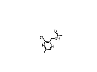 CC(=O)NCc1ncc(C)nc1Cl